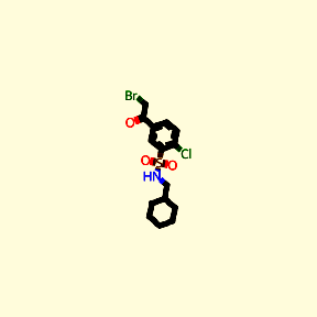 O=C(CBr)c1ccc(Cl)c(S(=O)(=O)NCC2CCCCC2)c1